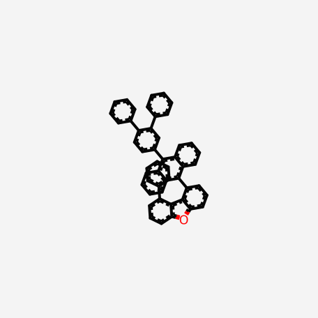 c1ccc(-c2ccc(-c3c4ccccc4c(-c4cccc5oc6cccc(-c7ccccc7)c6c45)c4ccccc34)cc2-c2ccccc2)cc1